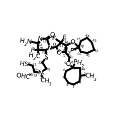 CC1CCCCCC(P)(OCC2OC(N3C(=O)N=C(N)C(C)(F)C3SCCN(C)[C@H](C=O)CS)C(F)(F)C2OC2(P)CCCCCC2)C1